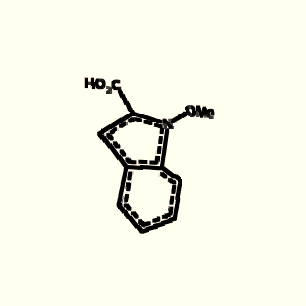 COn1c(C(=O)O)cc2ccccc21